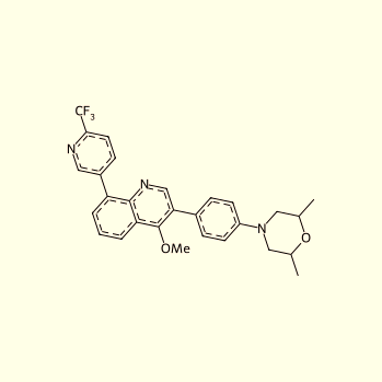 COc1c(-c2ccc(N3CC(C)OC(C)C3)cc2)cnc2c(-c3ccc(C(F)(F)F)nc3)cccc12